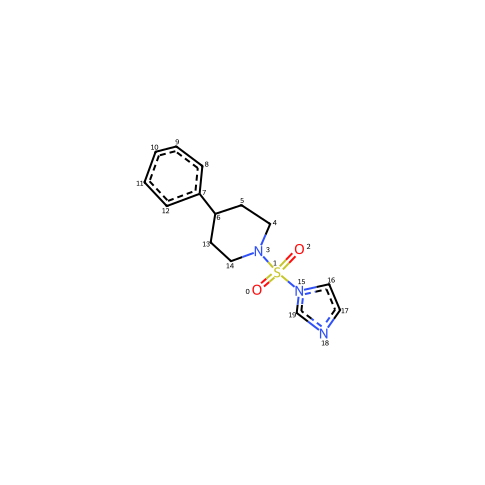 O=S(=O)(N1CCC(c2ccccc2)CC1)n1ccnc1